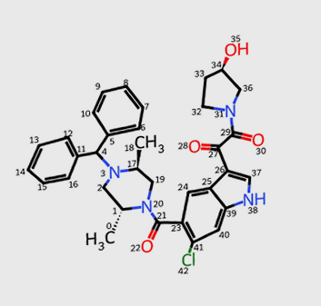 C[C@@H]1CN(C(c2ccccc2)c2ccccc2)[C@@H](C)CN1C(=O)c1cc2c(C(=O)C(=O)N3CC[C@@H](O)C3)c[nH]c2cc1Cl